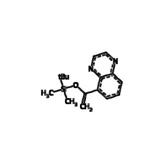 C=C(O[Si](C)(C)C(C)(C)C)c1cccc2nccnc12